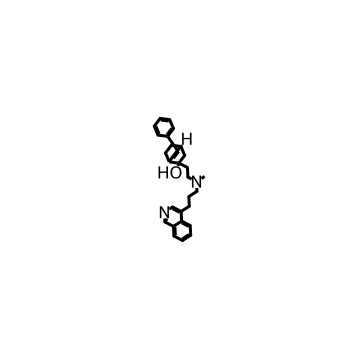 CN(CCCc1cncc2ccccc12)CCC1(O)C[C@@H]2CCC1C=C2c1ccccc1